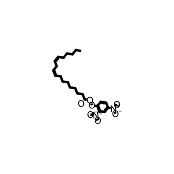 CCCCC/C=C\C/C=C\CCCCCCCC(=O)OOc1ccc([N+](=O)[O-])cc1[N+](=O)[O-]